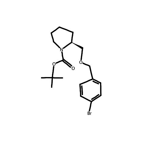 CC(C)(C)OC(=O)N1CCCC[C@H]1COCc1ccc(Br)cc1